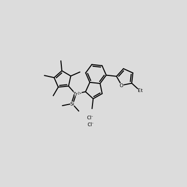 CCc1ccc(-c2cccc3c2C=C(C)[CH]3[Zr+2]([C]2=C(C)C(C)=C(C)C2C)=[Si](C)C)o1.[Cl-].[Cl-]